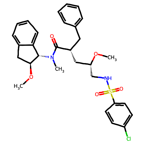 CO[C@H](CNS(=O)(=O)c1ccc(Cl)cc1)C[C@@H](Cc1ccccc1)C(=O)N(C)[C@H]1c2ccccc2C[C@@H]1OC